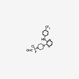 O=C[C@](F)(Cl)N1CCN(c2nccnc2Nc2ccc(C(F)(F)F)cc2)CC1